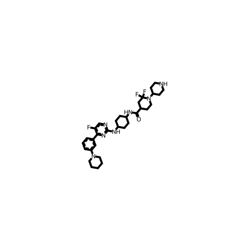 O=C(NC1CCC(Nc2ncc(F)c(-c3cccc(N4CCCCC4)c3)n2)CC1)C1CCN(C2CCNCC2)C(F)(F)C1